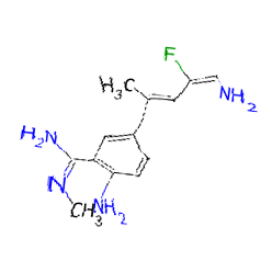 C/N=C(/N)c1cc(/C(C)=C/C(F)=C\N)ccc1N